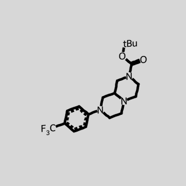 CC(C)(C)OC(=O)N1CCN2CCN(c3ccc(C(F)(F)F)cc3)CC2C1